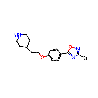 CCc1noc(-c2ccc(OCCC3CCNCC3)cc2)n1